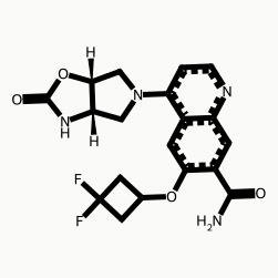 NC(=O)c1cc2nccc(N3C[C@@H]4NC(=O)O[C@@H]4C3)c2cc1OC1CC(F)(F)C1